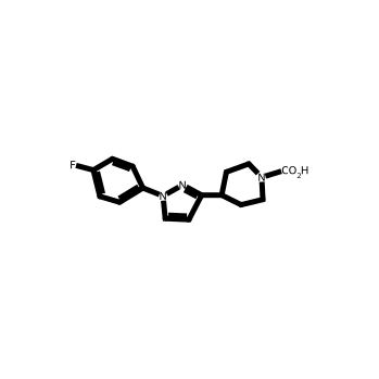 O=C(O)N1CCC(c2ccn(-c3ccc(F)cc3)n2)CC1